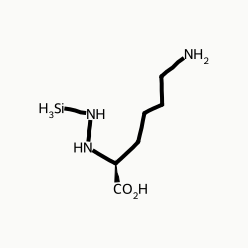 NCCCC[C@H](NN[SiH3])C(=O)O